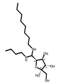 CCCCCCCCNC(NCCCC)[C@@H]1O[C@](O)(CO)[C@@H](O)[C@@H]1O